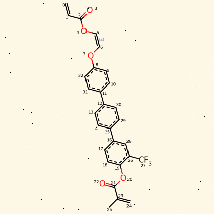 C=CC(=O)O/C=C\Oc1ccc(-c2ccc(-c3ccc(OC(=O)C(=C)C)c(C(F)(F)F)c3)cc2)cc1